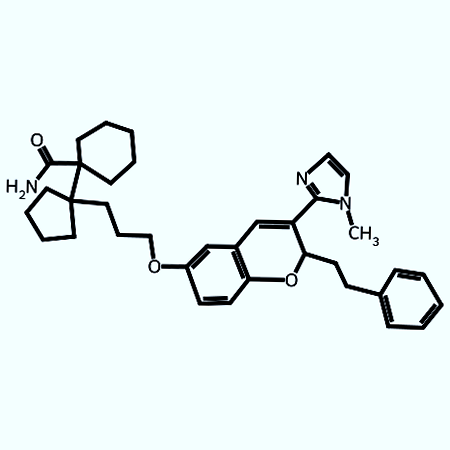 Cn1ccnc1C1=Cc2cc(OCCCC3(C4(C(N)=O)CCCCC4)CCCC3)ccc2OC1CCc1ccccc1